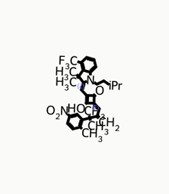 C=C(/C=C1/C(=O)C(/C=C2\N(CCC(C)C)c3cccc(C(F)(F)F)c3C2(C)C)=C1O)C(C)(C)c1cc([N+](=O)[O-])ccc1C